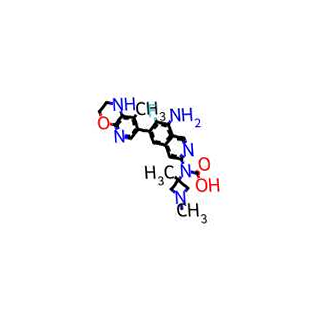 Cc1c(-c2cc3cc(N(C(=O)O)C4(C)CN(C)C4)ncc3c(N)c2F)cnc2c1NCCO2